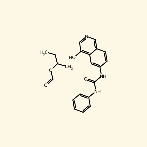 CCC(C)OC=O.O=C(Nc1ccccc1)Nc1ccc2cncc(O)c2c1